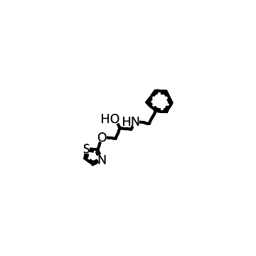 OC(CNCc1ccccc1)COc1nccs1